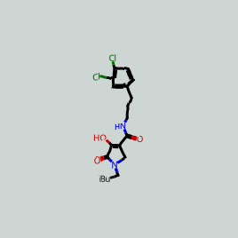 CCC(C)CN1CC(C(=O)NCCCc2ccc(Cl)c(Cl)c2)=C(O)C1=O